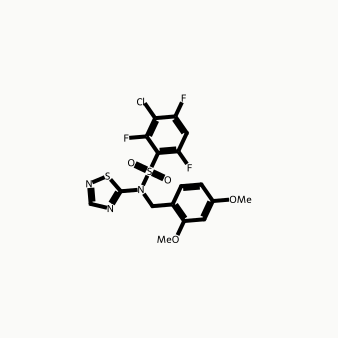 COc1ccc(CN(c2ncns2)S(=O)(=O)c2c(F)cc(F)c(Cl)c2F)c(OC)c1